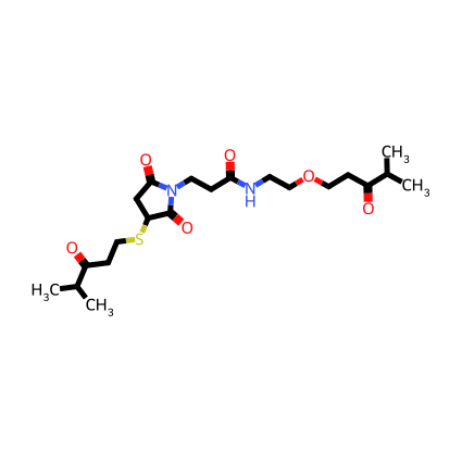 CC(C)C(=O)CCOCCNC(=O)CCN1C(=O)CC(SCCC(=O)C(C)C)C1=O